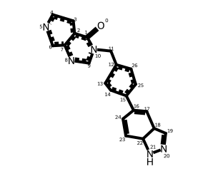 O=c1c2ccncc2ncn1Cc1ccc(C2=CC3C=NNC3C=C2)cc1